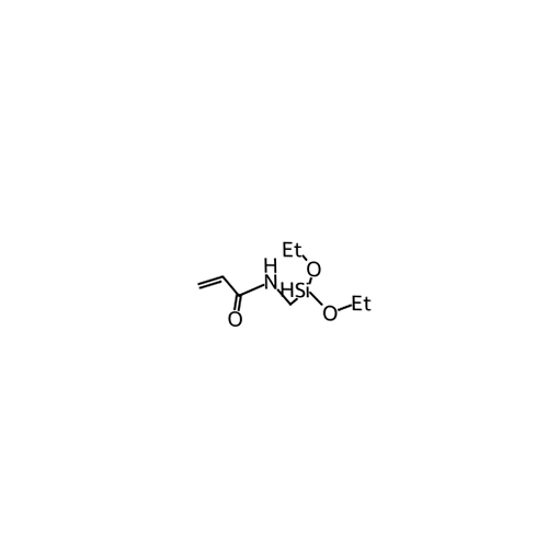 C=CC(=O)NC[SiH](OCC)OCC